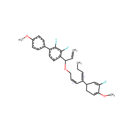 C=CC(OC/C=C\C(=C/CC)C1C=C(F)C(OC)=CC1)c1ccc(-c2ccc(OC)cc2)c(F)c1F